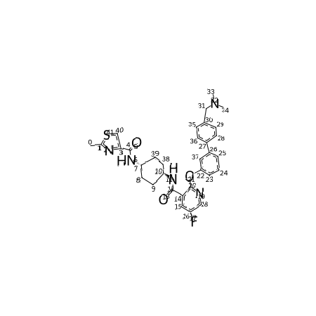 Cc1nc(C(=O)N[C@H]2CC[C@H](NC(=O)c3cc(F)cnc3Oc3cccc(-c4ccc(CN(C)C)cc4)c3)CC2)cs1